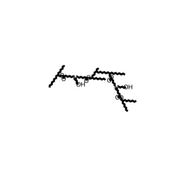 CCCCCCCCC(CCCCCC)COC(=O)CCCCCN(CCCO)CCCCCC(=O)OCC(CCCCCCC)CCCC(CC)CCCCCCC(CCCCCCCC)COC(=O)CCCCN(CCCCO)CCCCC(=O)OCC(CCCCCC)CCCCCCC